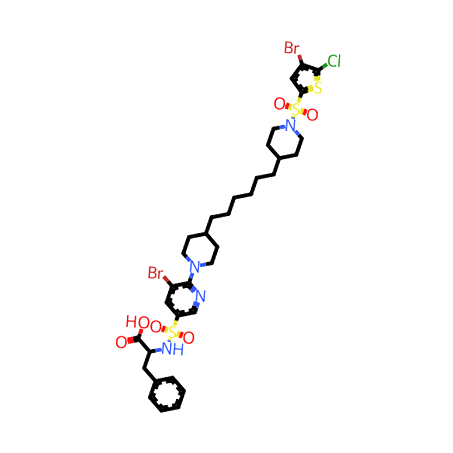 O=C(O)C(Cc1ccccc1)NS(=O)(=O)c1cnc(N2CCC(CCCCCCC3CCN(S(=O)(=O)c4cc(Br)c(Cl)s4)CC3)CC2)c(Br)c1